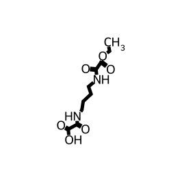 CCOC(=O)C(=O)NCCCCNC(=O)C(=O)O